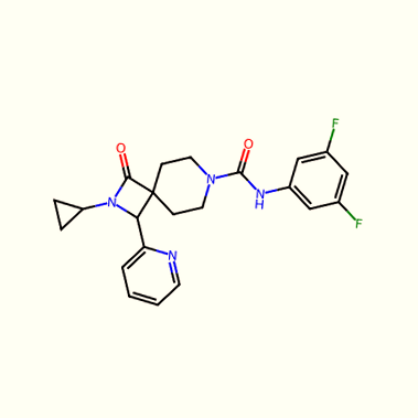 O=C(Nc1cc(F)cc(F)c1)N1CCC2(CC1)C(=O)N(C1CC1)C2c1ccccn1